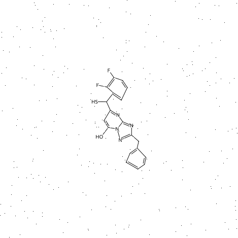 Oc1cc(C(S)c2cccc(F)c2F)nc2nc(Cc3ccccc3)nn12